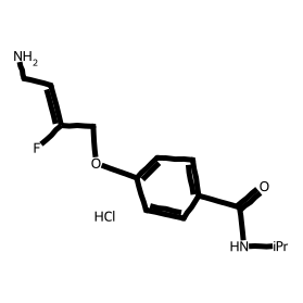 CC(C)NC(=O)c1ccc(OC/C(F)=C/CN)cc1.Cl